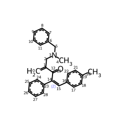 C=C(CN(C)Cc1ccccc1)C(=O)/C(=C\c1ccc(C)cc1)c1ccccc1